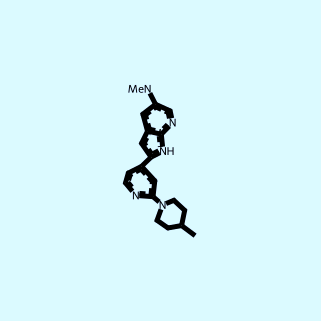 CNc1cnc2[nH]c(-c3ccnc(N4CCC(C)CC4)c3)cc2c1